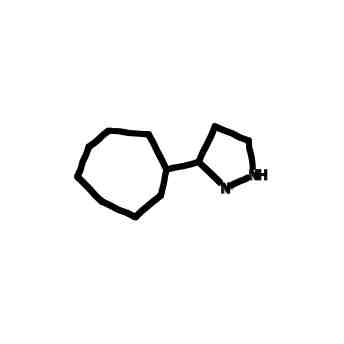 C1CCCC(C2CCN[N]2)CCC1